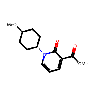 COC(=O)c1cccn([C@H]2CC[C@H](OC)CC2)c1=O